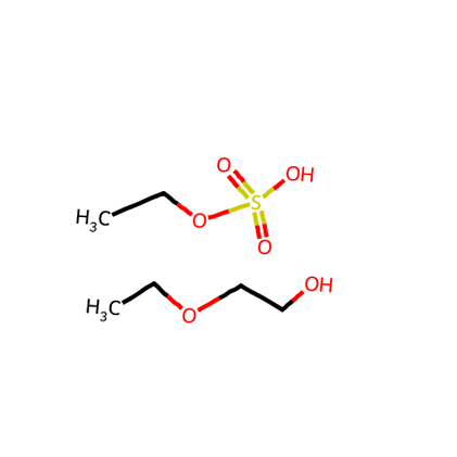 CCOCCO.CCOS(=O)(=O)O